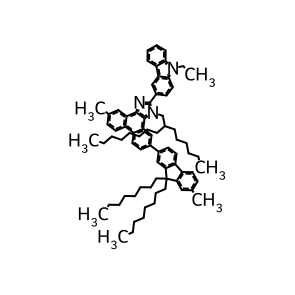 CCCCCCCCC(CCCCCC)Cn1c(-c2ccc3c(c2)c2ccccc2n3CC)nc2c3cc(C)ccc3c3ccc(-c4ccc5c(c4)C(CCCCCCCC)(CCCCCCCC)c4cc(C)ccc4-5)cc3c21